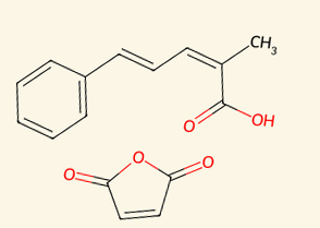 CC(=CC=Cc1ccccc1)C(=O)O.O=C1C=CC(=O)O1